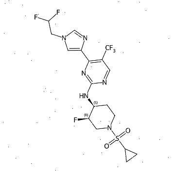 O=S(=O)(C1CC1)N1CC[C@H](Nc2ncc(C(F)(F)F)c(-c3cn(CC(F)F)cn3)n2)[C@H](F)C1